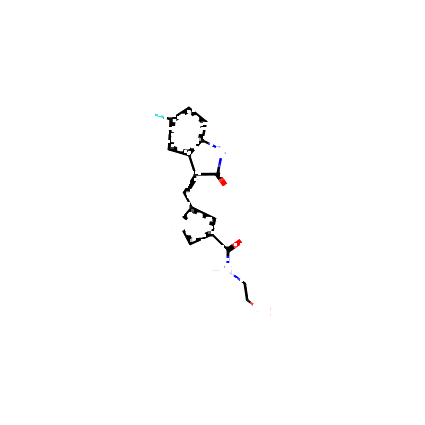 O=C1Nc2ccc(F)cc2/C1=C/c1cc(C(=O)NCCO)c[se]1